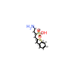 NCCC(Cc1cc2ccccc2s1)S(=O)(=O)O